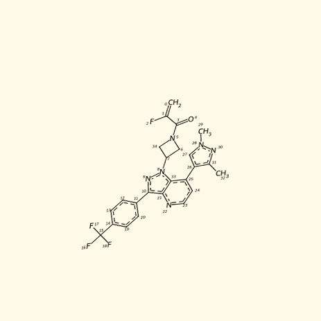 C=C(F)C(=O)N1CC(n2nc(-c3ccc(C(F)(F)F)cc3)c3nccc(-c4cn(C)nc4C)c32)C1